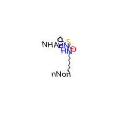 CCCCCCCCCC=CCCCCCCCNC(=O)[C@@H]1CSC(c2ccccc2NC(C)=O)N1